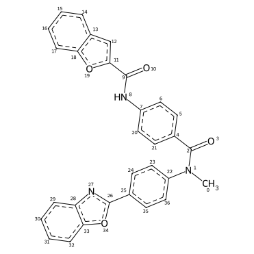 CN(C(=O)c1ccc(NC(=O)c2cc3ccccc3o2)cc1)c1ccc(-c2nc3ccccc3o2)cc1